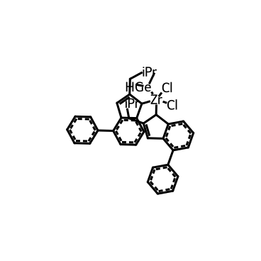 CC(C)CC1=Cc2c(-c3ccccc3)cccc2[CH]1[Zr]([Cl])([Cl])([CH]1C(CC(C)C)=Cc2c(-c3ccccc3)cccc21)[GeH]([CH3])[CH3]